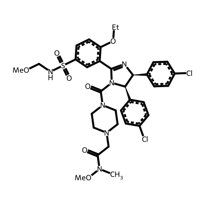 CCOc1ccc(S(=O)(=O)NCOC)cc1C1=N[C@@H](c2ccc(Cl)cc2)[C@@H](c2ccc(Cl)cc2)N1C(=O)N1CCN(CC(=O)N(C)OC)CC1